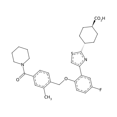 Cc1cc(C(=O)N2CCCCC2)ccc1COc1ccc(F)cc1-c1csc([C@H]2CC[C@H](C(=O)O)CC2)n1